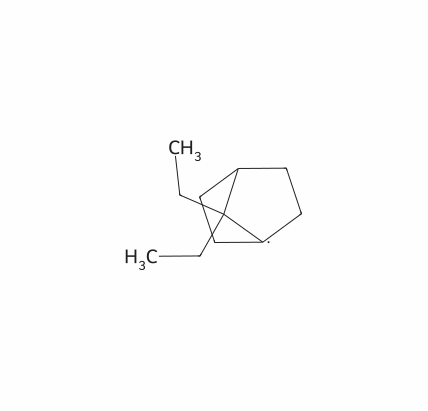 CCC1(CC)[C]2CCC1CC2